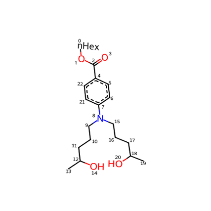 CCCCCCOC(=O)c1ccc(N(CCCC(C)O)CCCC(C)O)cc1